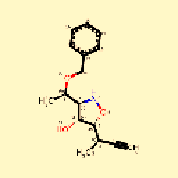 C#C[C@@H](C)[C@H]1ON[C@H]([C@@H](C)OCc2ccccc2)[C@H]1O